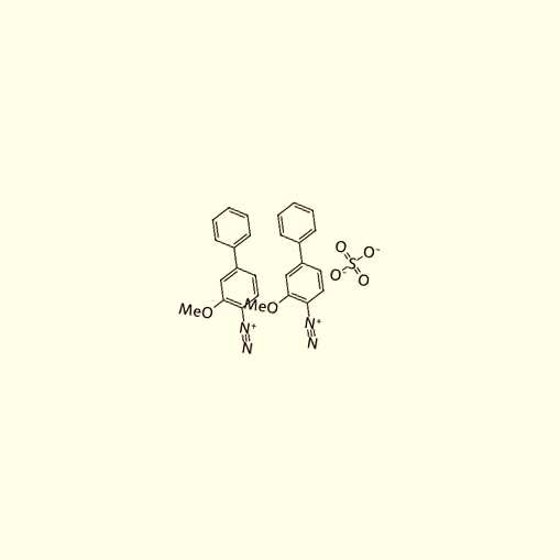 COc1cc(-c2ccccc2)ccc1[N+]#N.COc1cc(-c2ccccc2)ccc1[N+]#N.O=S(=O)([O-])[O-]